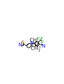 CN(c1ccc(C#N)c(C(F)(F)F)c1)C1C=C(c2cncs2)CCC1(C)C